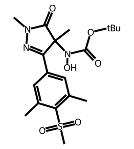 Cc1cc(C2=NN(C)C(=O)C2(C)N(O)C(=O)OC(C)(C)C)cc(C)c1S(C)(=O)=O